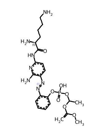 C=C(OC)OC(C)OP(=O)(O)Oc1ccccc1/N=N/c1ccc(NC(=O)[C@@H](N)CCCCN)nc1N